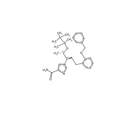 C[C@H](O[Si](C)(C)C(C)(C)C)[C@@H](CCc1ccccc1OCc1ccccc1)n1cnc(C(N)=O)c1